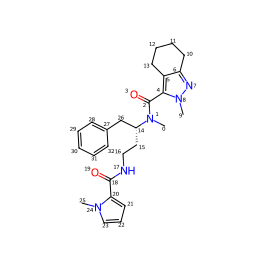 CN(C(=O)c1c2c(nn1C)CCCC2)[C@H](CCNC(=O)c1cccn1C)Cc1ccccc1